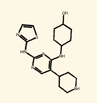 OC1CCC(Nc2nc(Nc3nccs3)ncc2C2CCNCC2)CC1